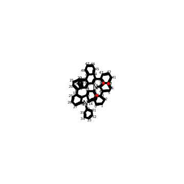 c1ccc(-c2ccccc2N(c2ccc3c(c2)c2c(-c4ccccc4)cccc2n3-c2ccccc2)c2c(-c3ccccc3)c3ccccc3c3ccccc23)cc1